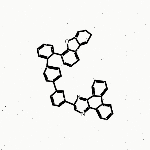 C1=c2oc3c(-c4ccccc4-c4ccc(-c5cccc(-c6cnc7c8ccccc8c8ccccc8c7n6)c5)cc4)cccc3c2=CCC1